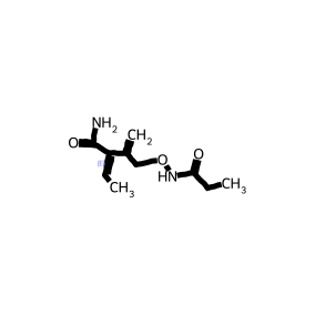 C=C(CONC(=O)CC)/C(=C\C)C(N)=O